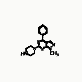 Cn1ncc2c(-c3ccccc3)nc(N3CCNCC3)nc21